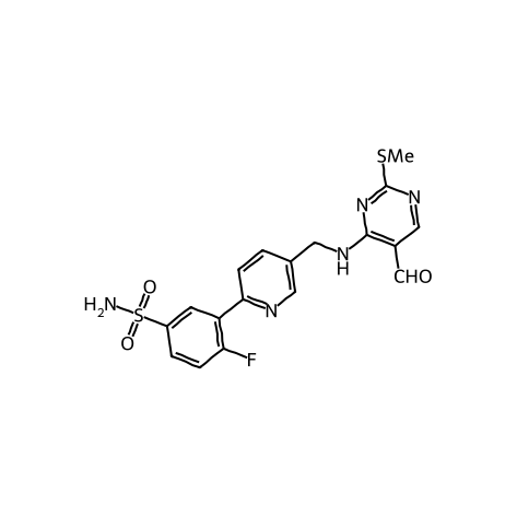 CSc1ncc(C=O)c(NCc2ccc(-c3cc(S(N)(=O)=O)ccc3F)nc2)n1